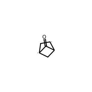 O=C1[C]2C[CH]C1C2